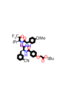 COc1ccc([C@H](NC(=O)[C@H](Cc2cccc(C#N)c2)NC(=O)c2ccc(OCC(=O)OC(C)(C)C)cc2)C(=O)N[C@H](C(=O)C(F)(F)F)C(C)C)cc1